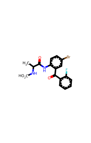 CC(NC(=O)O)C(=O)Nc1ccc(Br)cc1C(=O)c1ccccc1F